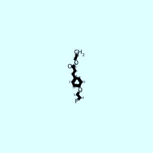 C=CCOC(=O)CCc1ccc(OCCF)cc1